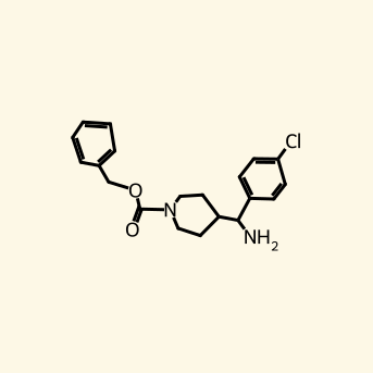 NC(c1ccc(Cl)cc1)C1CCN(C(=O)OCc2ccccc2)CC1